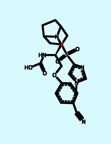 Cn1cnc(S(=O)(=O)N2CC3CCC(C2)N3C[C@@H](COc2ccc(C#N)cc2)NC(=O)O)c1